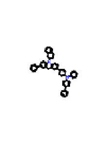 c1ccc(-c2ccc(N(c3ccccc3)c3ccc(-c4ccc5c(c4)Cc4cc(-c6ccccc6)ccc4N5c4ccc5ccccc5c4)cc3)cc2)cc1